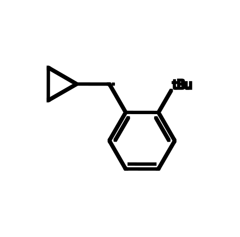 CC(C)(C)c1ccccc1[CH]C1CC1